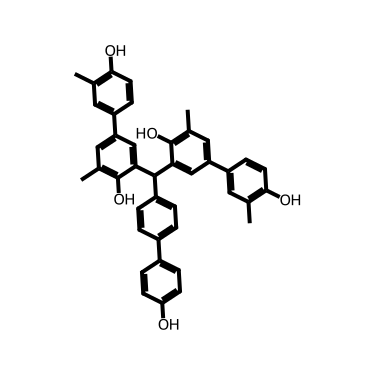 Cc1cc(-c2cc(C)c(O)c(C(c3ccc(-c4ccc(O)cc4)cc3)c3cc(-c4ccc(O)c(C)c4)cc(C)c3O)c2)ccc1O